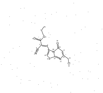 CCOC(=O)/C(C#N)=C/c1csc2nc(CCl)cc(=O)n12